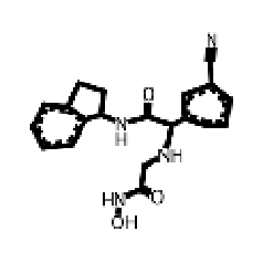 N#Cc1cccc(C(NCC(=O)NO)C(=O)NC2CCc3ccccc32)c1